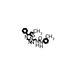 Cc1cccc(NC(=O)NCc2nnc3n2-c2sc(C)cc2C(c2ccccc2)=NC3)c1